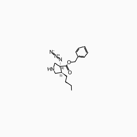 CCCC[C@H]1CNC[C@@]1(N=[N+]=[N-])C(=O)OCc1ccccc1